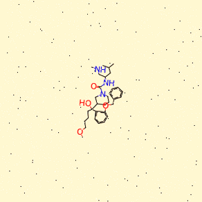 CNCC(CC(C)C)NC(=O)N1CCCC(C(O)(CCCCOC)c2ccccc2OCc2ccccc2)C1